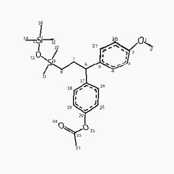 COc1ccc(C(CC[Si](C)(C)O[Si](C)(C)C)c2ccc(OC(C)=O)cc2)cc1